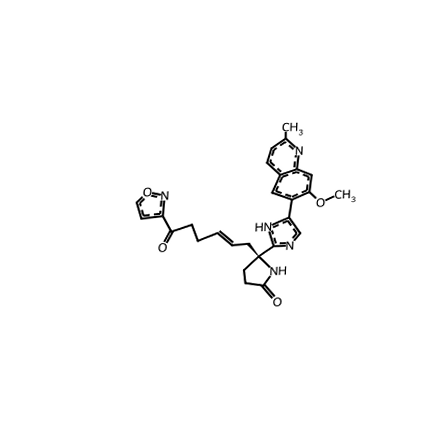 COc1cc2nc(C)ccc2cc1-c1cnc([C@@]2(C/C=C/CCC(=O)c3ccon3)CCC(=O)N2)[nH]1